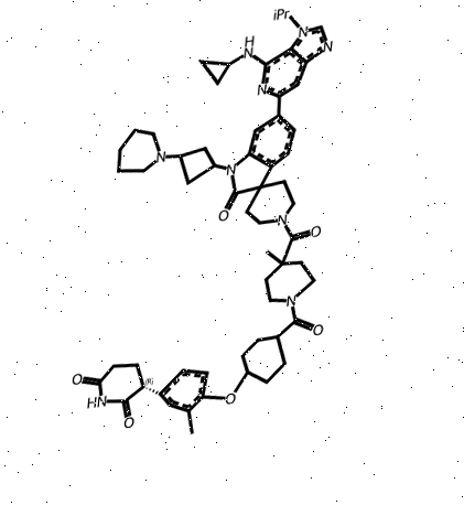 Cc1cc([C@H]2CCC(=O)NC2=O)ccc1OC1CCC(C(=O)N2CCC(C)(C(=O)N3CCC4(CC3)C(=O)N(C3CC(N5CCCCC5)C3)c3cc(-c5cc6ncn(C(C)C)c6c(NC6CC6)n5)ccc34)CC2)CC1